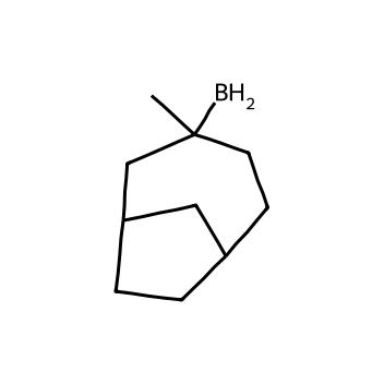 BC1(C)CCC2CCC(C2)C1